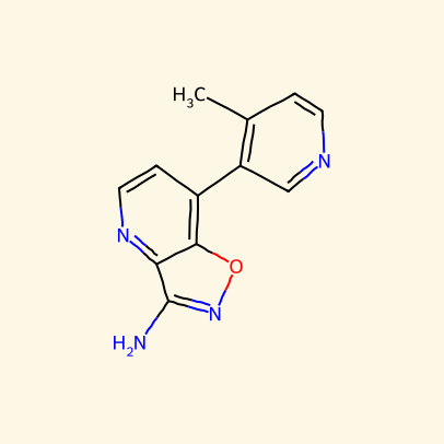 Cc1ccncc1-c1ccnc2c(N)noc12